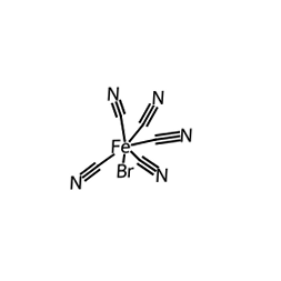 N#[C][Fe]([Br])([C]#N)([C]#N)([C]#N)[C]#N